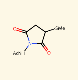 CSC1CC(=O)N(NC(C)=O)C1=O